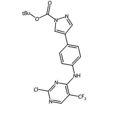 CC(C)(C)OC(=O)n1cc(-c2ccc(Nc3nc(Cl)ncc3C(F)(F)F)cc2)cn1